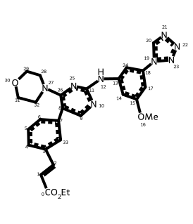 CCOC(=O)C=Cc1cccc(-c2cnc(Nc3cc(OC)cc(-n4cnnn4)c3)nc2N2CCOCC2)c1